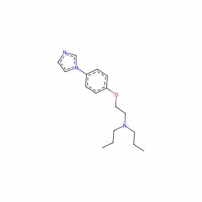 CCCN(CCC)CCOc1ccc(-n2ccnc2)cc1